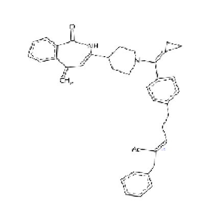 C=C1C=C(C2CCN(C(=C3CC3)c3ccc(CC/C=C(/Cc4ccccc4)C(C)=O)cc3)CC2)NC(=O)c2ccccc21